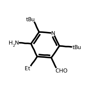 CCc1c(N)c(C(C)(C)C)nc(C(C)(C)C)c1C=O